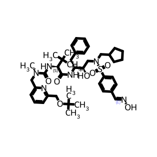 CN(Cc1cccc(COC(C)(C)C)n1)C(=O)N[C@H](C(=O)N[C@@H](Cc1ccccc1)[C@H](O)CN(CC1CCCC1)S(=O)(=O)c1ccc(/C=N/O)cc1)C(C)(C)C